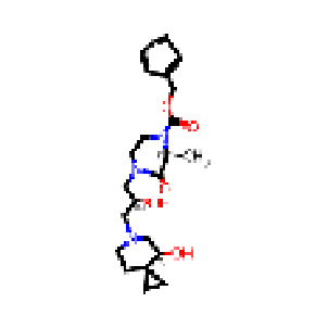 C[C@H]1C(=O)N(C[C@@H](O)CN2CCC3(CC3)[C@H](O)C2)CCN1C(=O)OCc1ccccc1